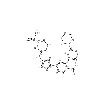 CN(Cc1ccc(C2CCCCC2)cc1)c1ccc(-c2csc(CN3CCCC(C(=O)O)C3)n2)cc1